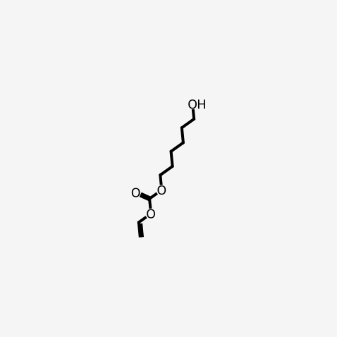 C=COC(=O)OCCCCCCO